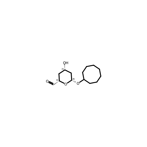 O=C[C@@H]1C[C@H](O)C[C@H](OC2CCCCCCC2)O1